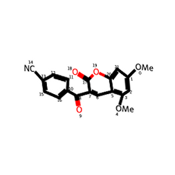 COc1cc(OC)c2cc(C(=O)c3ccc(C#N)cc3)c(=O)oc2c1